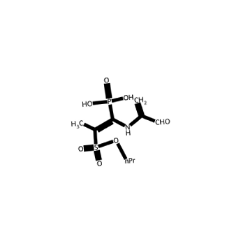 C=C(C=O)NC(=C(C)S(=O)(=O)OCCC)P(=O)(O)O